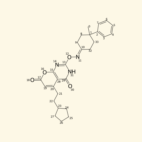 CC1(c2ccccc2)CCC(=NOc2nc3oc(=O)cc(CCC4CCCC4)c3c(=O)[nH]2)CC1